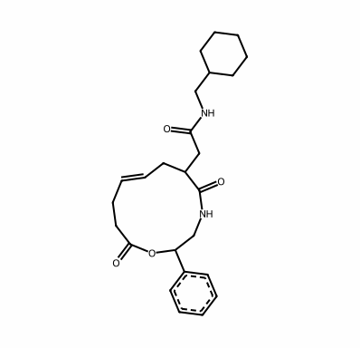 O=C(CC1C/C=C/CCC(=O)OC(c2ccccc2)CNC1=O)NCC1CCCCC1